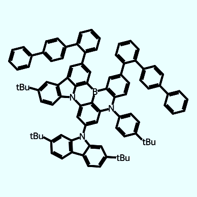 CC(C)(C)c1ccc(N2c3ccc(-c4ccccc4-c4ccc(-c5ccccc5)cc4)cc3B3c4c2cc(-n2c5cc(C(C)(C)C)ccc5c5ccc(C(C)(C)C)cc52)cc4-n2c4ccc(C(C)(C)C)cc4c4cc(-c5ccccc5-c5ccc(-c6ccccc6)cc5)cc3c42)cc1